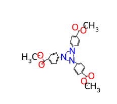 COC(=O)c1ccc(N2CN(c3ccc(C(=O)OC)cc3)CN(c3ccc(C(=O)OC)cc3)C2)cc1